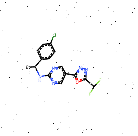 CCC(Nc1ncc(-c2nnc(C(F)F)o2)cn1)c1ccc(Cl)cc1